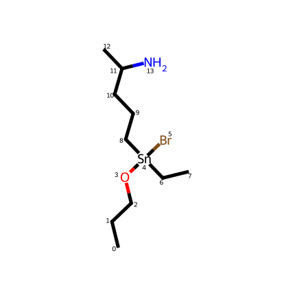 CCC[O][Sn]([Br])([CH2]C)[CH2]CCC(C)N